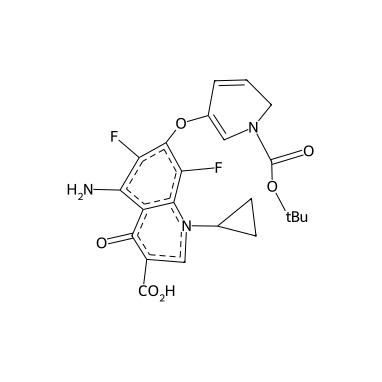 CC(C)(C)OC(=O)N1C=C(Oc2c(F)c(N)c3c(=O)c(C(=O)O)cn(C4CC4)c3c2F)C=CC1